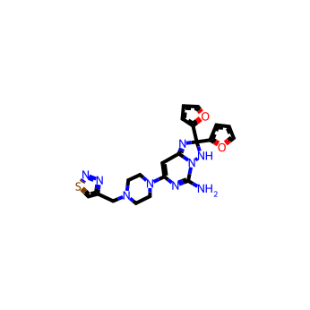 NC1=NC(N2CCN(Cc3csnn3)CC2)=CC2=NC(c3ccco3)(c3ccco3)NN12